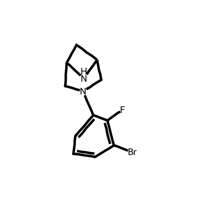 Fc1c(Br)cccc1N1CC2CC(C1)N2